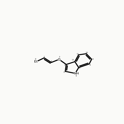 CCC=COc1c[nH]c2ccccc12